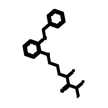 O=C(C(F)F)C(F)CCCOc1ccccc1OCc1ccccc1